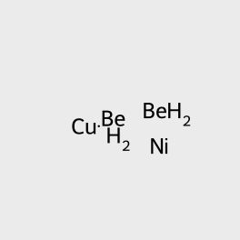 [BeH2].[BeH2].[Cu].[Ni]